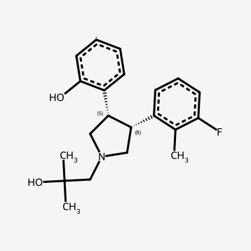 Cc1c(F)cccc1[C@@H]1CN(CC(C)(C)O)C[C@@H]1c1cc[c]cc1O